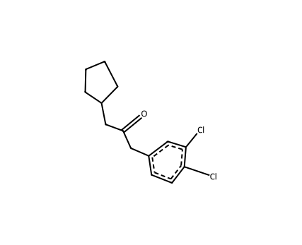 O=C(Cc1ccc(Cl)c(Cl)c1)CC1CCCC1